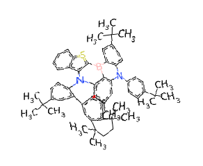 Cc1cc2c3c(c1)N(c1ccc(C(C)(C)C)cc1-c1ccc4c(c1)C(C)(C)CCC4(C)C)c1c(sc4ccccc14)B3c1cc(C(C)(C)C)ccc1N2c1ccc(C(C)(C)C)cc1